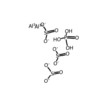 O=P(O)(O)O.O=[Si]([O-])[O-].O=[Si]([O-])[O-].O=[Si]([O-])[O-].[Al+3].[Al+3]